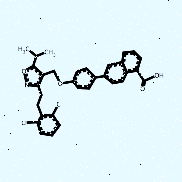 CC(C)c1onc(CCc2c(Cl)cccc2Cl)c1COc1ccc(-c2ccc3c(C(=O)O)cccc3c2)cc1